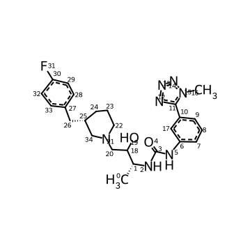 C[C@@H](NC(=O)Nc1cccc(-c2nnnn2C)c1)C(O)CN1CCC[C@@H](Cc2ccc(F)cc2)C1